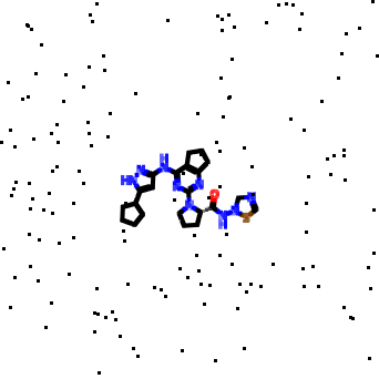 O=C(NN1CN=CS1)[C@@H]1CCCN1c1nc2c(c(Nc3cc(C4CCCC4)[nH]n3)n1)CCC2